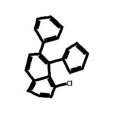 Clc1cccc2ccc(-c3ccccc3)c(-c3[c]cccc3)c12